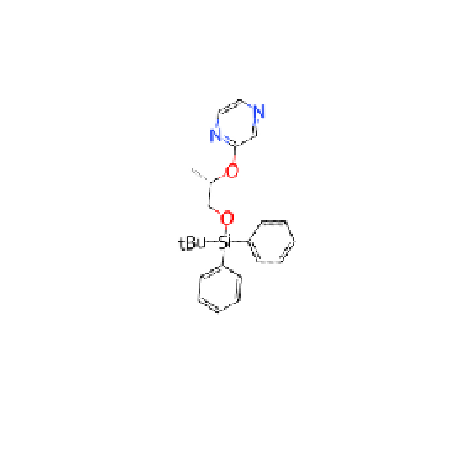 C[C@@H](CO[Si](c1ccccc1)(c1ccccc1)C(C)(C)C)Oc1cnccn1